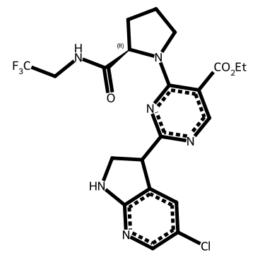 CCOC(=O)c1cnc(C2CNc3ncc(Cl)cc32)nc1N1CCC[C@@H]1C(=O)NCC(F)(F)F